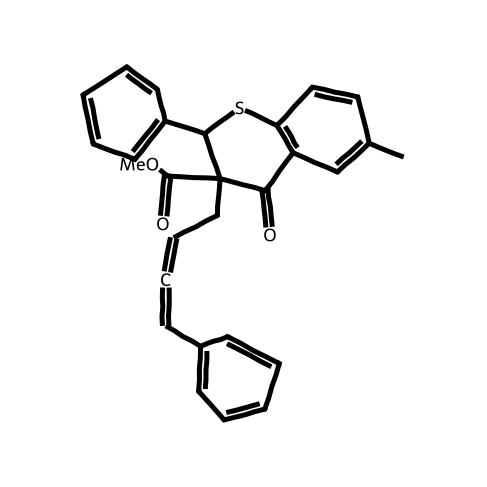 COC(=O)C1(CC=C=Cc2ccccc2)C(=O)c2cc(C)ccc2SC1c1ccccc1